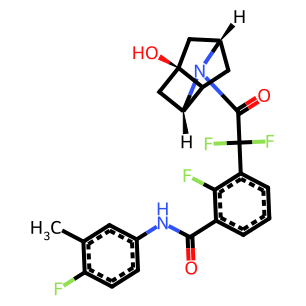 Cc1cc(NC(=O)c2cccc(C(F)(F)C(=O)N3[C@H]4CC5[C@@H]3C[C@]5(O)C4)c2F)ccc1F